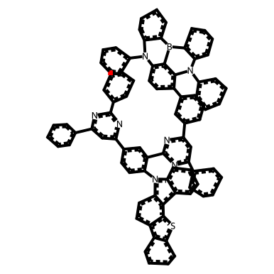 c1ccc(-c2cc(-c3ccc(-n4c5ccccc5c5c6sc7ccccc7c6ccc54)c(-c4nc(-c5ccccc5)cc(-c5cccc(-c6ccc7c8c6N(c6ccccc6)c6ccccc6B8c6ccccc6N7c6ccccc6)c5)n4)c3)nc(-c3ccccc3)n2)cc1